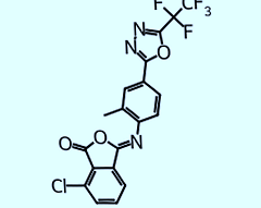 Cc1cc(-c2nnc(C(F)(F)C(F)(F)F)o2)ccc1N=C1OC(=O)c2c(Cl)cccc21